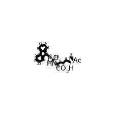 CC(=O)N(C)CCCC[C@H](NC(=O)OCC1c2ccccc2-c2ccccc21)C(=O)O